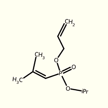 C=CCOP(=O)(C=C(C)C)OC(C)C